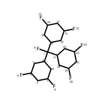 FC1CC(F)CC(C(F)(C2CC(F)CC(F)C2)C2CC(F)CC(F)C2)C1